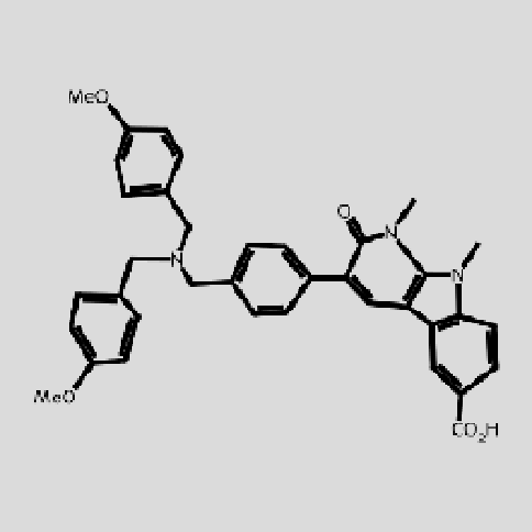 COc1ccc(CN(Cc2ccc(OC)cc2)Cc2ccc(-c3cc4c5cc(C(=O)O)ccc5n(C)c4n(C)c3=O)cc2)cc1